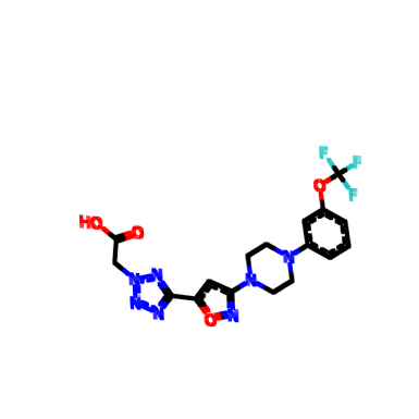 O=C(O)Cn1nnc(-c2cc(N3CCN(c4cccc(OC(F)(F)F)c4)CC3)no2)n1